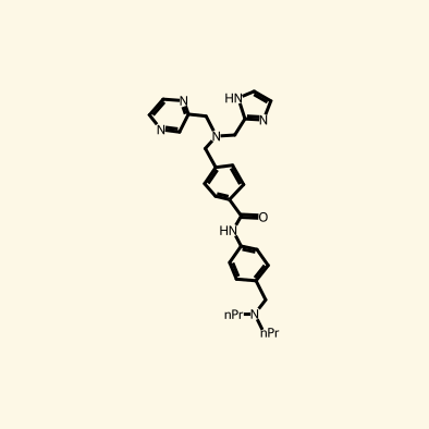 CCCN(CCC)Cc1ccc(NC(=O)c2ccc(CN(Cc3cnccn3)Cc3ncc[nH]3)cc2)cc1